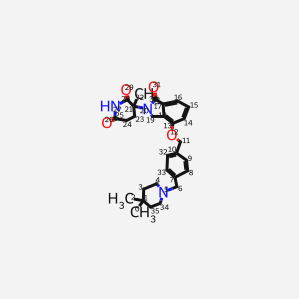 CC1(C)CCN(Cc2ccc(COc3cccc4c3CN(C3(C)CCC(=O)NC3=O)C4=O)cc2)CC1